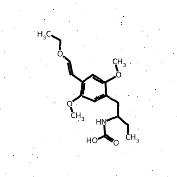 CCOC=Cc1cc(OC)c(CC(CC)NC(=O)O)cc1OC